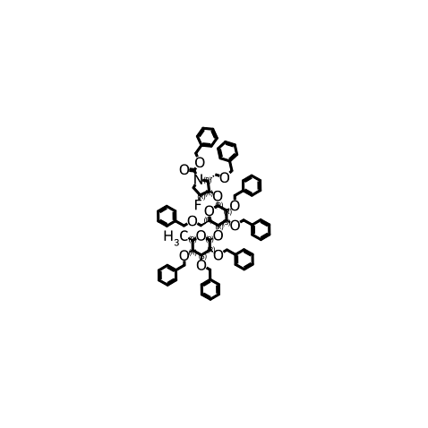 C[C@H]1O[C@H](O[C@H]2[C@H](OCc3ccccc3)[C@@H](OCc3ccccc3)[C@@H](O[C@H]3[C@H](F)CN(C(=O)OCc4ccccc4)[C@@H]3COCc3ccccc3)O[C@@H]2COCc2ccccc2)[C@H](OCc2ccccc2)[C@@H](OCc2ccccc2)[C@@H]1OCc1ccccc1